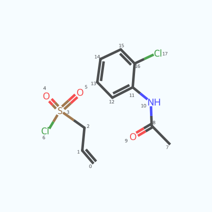 C=CCS(=O)(=O)Cl.CC(=O)Nc1ccccc1Cl